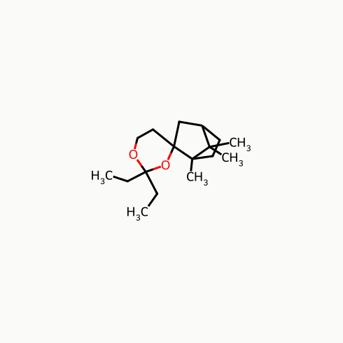 CCC1(CC)OCCC2(CC3CCC2(C)C3(C)C)O1